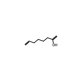 C=CCCCCC(=C)O